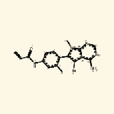 C=CC(=O)Nc1ccc(-c2c(Br)c3c(N)ncnc3n2C)c(C)c1